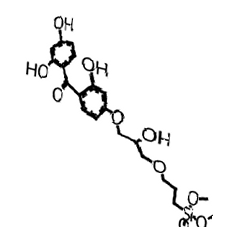 CO[Si](CCCOCC(O)COc1ccc(C(=O)c2ccc(O)cc2O)c(O)c1)(OC)OC